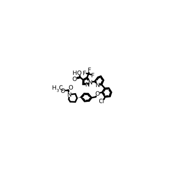 COC(=O)N1CCC[C@@H](c2ccc(COc3c(Cl)cccc3-c3cccc(-n4ncc(C(=O)O)c4C(F)(F)F)n3)cc2)C1